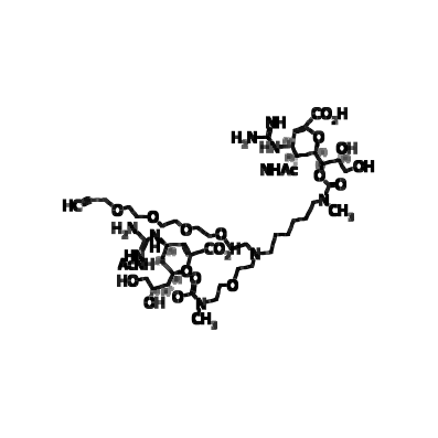 C#CCOCCOCCOCCOCCN(CCCCCCN(C)C(=O)O[C@@H]([C@@H]1OC(C(=O)O)=C[C@H](NC(=N)N)[C@H]1NC(C)=O)[C@H](O)CO)CCOCCN(C)C(=O)O[C@@H]([C@@H]1OC(C(=O)O)=C[C@H](NC(=N)N)[C@H]1NC(C)=O)[C@H](O)CO